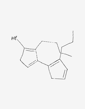 CCCCC1=[C]([Hf])CC=C1C1=C(CCC)C=CC1